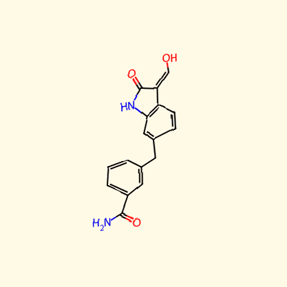 NC(=O)c1cccc(Cc2ccc3c(c2)NC(=O)C3=CO)c1